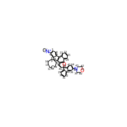 [C-]#[N+]c1ccc2c(c1)C1(CCCCCCC1)c1c3c(c4ccccc4c1-2)OC(c1ccccc1)(c1ccc(N2CCOCC2)cc1)C=C3